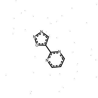 [c]1nnoc1-c1ncccn1